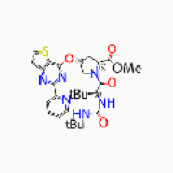 COC(=O)[C@@H]1C[C@@H](Oc2nc(-c3ccccn3)nc3ccsc23)CN1C(=O)[C@@H](NC(=O)NC(C)(C)C)C(C)(C)C